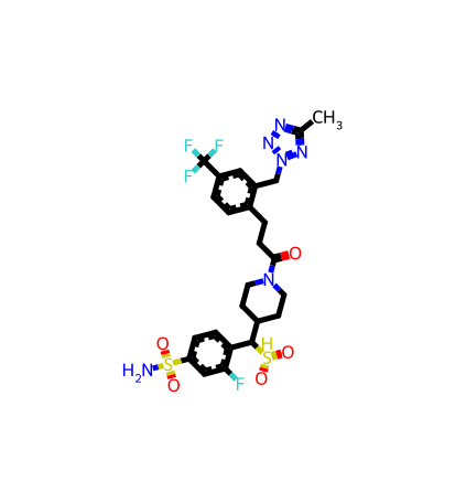 Cc1nnn(Cc2cc(C(F)(F)F)ccc2CCC(=O)N2CCC(C(c3ccc(S(N)(=O)=O)cc3F)[SH](=O)=O)CC2)n1